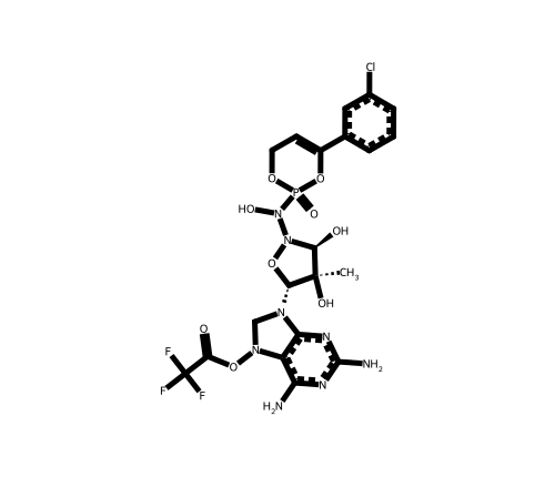 C[C@@]1(O)[C@H](O)N(N(O)P2(=O)OCC=C(c3cccc(Cl)c3)O2)O[C@H]1N1CN(OC(=O)C(F)(F)F)c2c(N)nc(N)nc21